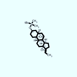 CC=C1CC[C@@H]2[C@@H]3CC[C@H]4C[C@H](O[Si](C)(C)C(C)(C)C)CC[C@]4(C)[C@H]3CC[C@]12C